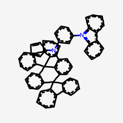 C1=CC(N(c2cccc(-n3c4ccccc4c4ccccc43)c2)c2cccc3c2C2(c4ccccc4-c4ccccc42)c2ccccc2C32c3ccccc3-c3ccccc32)C=C1